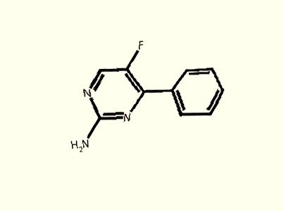 Nc1ncc(F)c(-c2ccccc2)n1